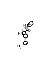 Cc1csc(-c2ccc3c(C(=O)NC4CC5CCCC(C4)N5C)n[nH]c3c2)c1